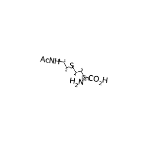 CC(=O)NCCSCC[C@H](N)C(=O)O